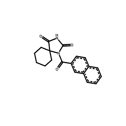 O=C1NC(=O)C2(CCCCC2)N1C(=O)c1ccc2ccccc2c1